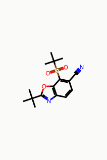 CC(C)(C)c1nc2ccc(C#N)c(S(=O)(=O)C(C)(C)C)c2o1